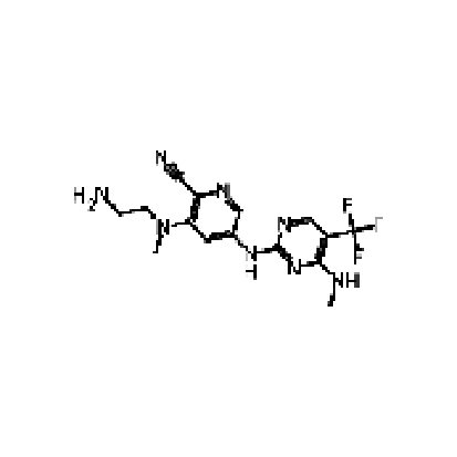 CNc1nc(Nc2cnc(C#N)c(N(C)CCN)c2)ncc1C(F)(F)F